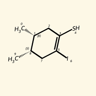 C[C@@H]1CC(S)=C(I)C[C@@H]1C